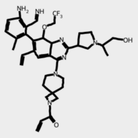 C=CC(=O)N1CC2(CCN(C3=NC(C4CCN(C(C)CO)C4)=NC4C3=CC(C=C)=C(c3c(C)ccc(N)c3C=N)C4OCC(F)(F)F)CC2)C1